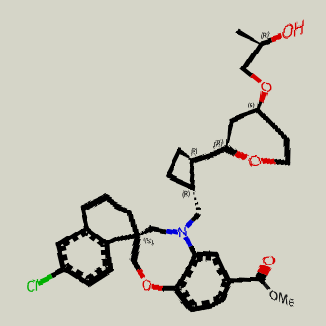 COC(=O)c1ccc2c(c1)N(C[C@@H]1CC[C@H]1[C@H]1C[C@@H](OC[C@@H](C)O)CCO1)C[C@@]1(CCCc3cc(Cl)ccc31)CO2